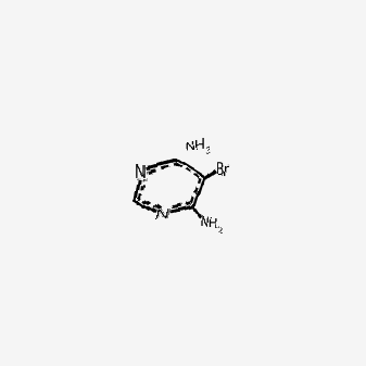 N.Nc1ncncc1Br